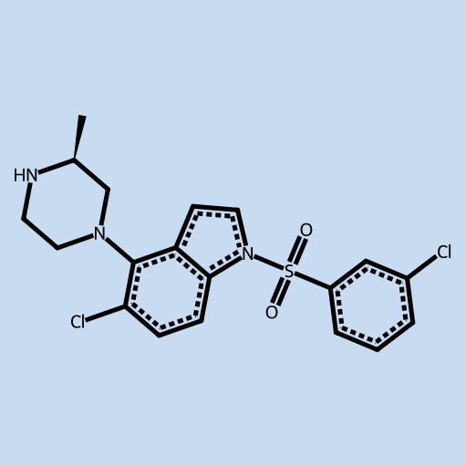 C[C@H]1CN(c2c(Cl)ccc3c2ccn3S(=O)(=O)c2cccc(Cl)c2)CCN1